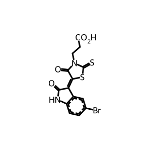 O=C(O)CCN1C(=O)C(=C2C(=O)Nc3ccc(Br)cc32)SC1=S